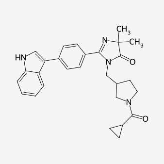 CC1(C)N=C(c2ccc(-c3c[nH]c4ccccc34)cc2)N(CC2CCN(C(=O)C3CC3)C2)C1=O